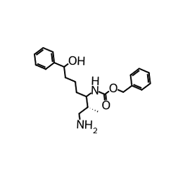 C[C@H](CN)C(CCCC(O)c1ccccc1)NC(=O)OCc1ccccc1